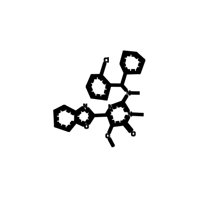 COc1c(-c2nc3ccccc3o2)nc(N(C)C(c2ccccc2)c2ccccc2Cl)n(C)c1=O